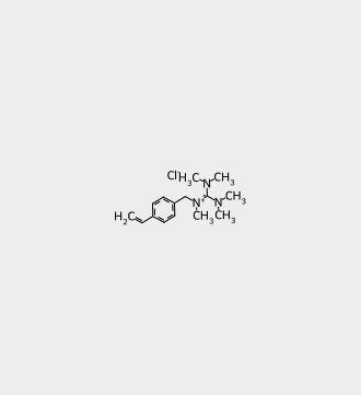 C=Cc1ccc(C[N+](C)=C(N(C)C)N(C)C)cc1.[Cl-]